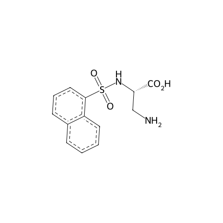 NC[C@H](NS(=O)(=O)c1cccc2ccccc12)C(=O)O